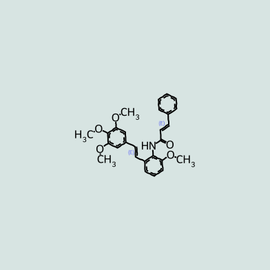 COc1cccc(/C=C/c2cc(OC)c(OC)c(OC)c2)c1NC(=O)/C=C/c1ccccc1